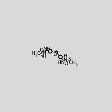 CC(=S)C(=O)NC(=N)c1ccc(-c2ccc(-c3ccc(C(=N)NC(=O)C(C)=S)cc3)o2)cc1